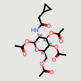 CC(=O)OC[C@H]1OC(OC(C)=O)[C@H](NC(=O)CC2CC2)[C@@H](OC(C)=O)[C@H]1OC(C)=O